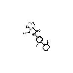 CCN(CC(C)C)[C@H](CN)C(=O)Nc1ccc(N2CCOCC2=O)c(F)c1